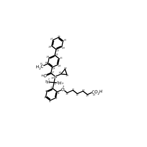 [2H]C([2H])(c1ccccc1OCCCCCC(=O)O)N(C(=O)c1ccc(-c2ccccc2)cc1C)C1CC1